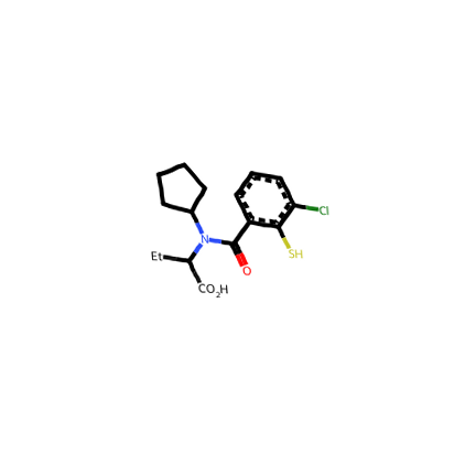 CCC(C(=O)O)N(C(=O)c1cccc(Cl)c1S)C1CCCC1